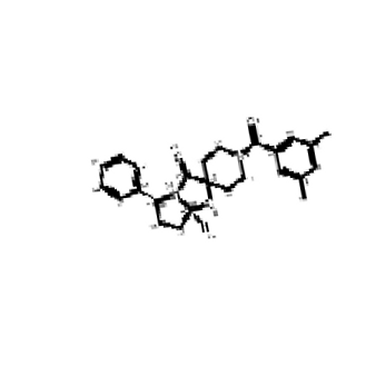 Cc1cc(C)cc(C(=O)N2CCC3(CC2)O[C@@H]2CC[C@@H](c4ccccc4)N2C3=O)c1